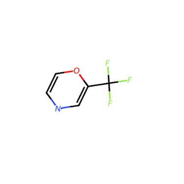 FC(F)(F)C1=C[N]C=CO1